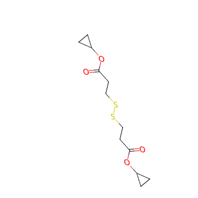 O=C(CCSSCCC(=O)OC1CC1)OC1CC1